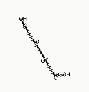 O=C(CCSCSCSCCC[S+]([O-])CCSCSCSCCSC(=O)CCSCSCSCCCOOCSCO)OCSCO